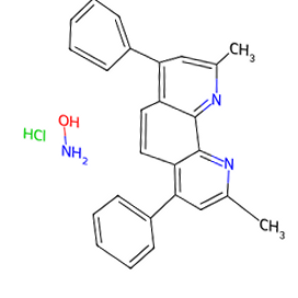 Cc1cc(-c2ccccc2)c2ccc3c(-c4ccccc4)cc(C)nc3c2n1.Cl.NO